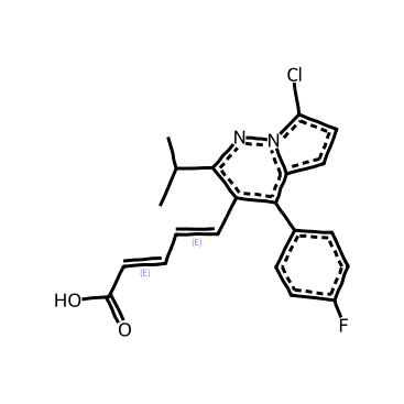 CC(C)c1nn2c(Cl)ccc2c(-c2ccc(F)cc2)c1/C=C/C=C/C(=O)O